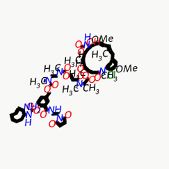 COc1cc2cc(c1Cl)N(C)C(=O)C[C@H](OC(=O)[C@H](C)N(C)C(=O)CCOC(=O)N(C)CCN(C)C(=O)OCc1ccc(OC(=O)NC3CCCC/C=C/[C@@H]3N)c(C(=O)NCCN3C(=O)C=CC3=O)c1)[C@]1(C)O[C@H]1[C@H](C)[C@@H]1C[C@@](O)(NC(=O)O1)[C@H](OC)/C=C/C=C(\C)C2